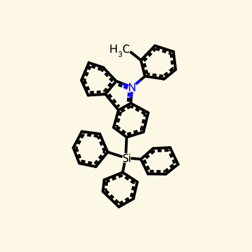 Cc1ccccc1-n1c2ccccc2c2cc([Si](c3ccccc3)(c3ccccc3)c3ccccc3)ccc21